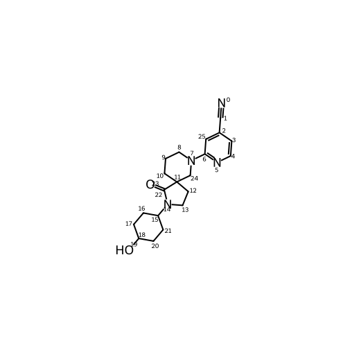 N#Cc1ccnc(N2CCCC3(CCN(C4CCC(O)CC4)C3=O)C2)c1